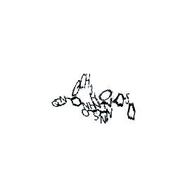 COc1cc(NC(=O)c2sc3ncnc4c3c2NC(=O)N4c2ccc(Sc3ccccc3)cc2)ccc1CN1CCOCC1